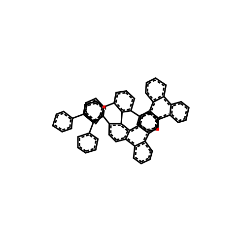 c1ccc(-c2cccc(-c3cccc4c5ccccc5c5ccccc5c34)c2-c2c(-c3nccc(-c4ccccc4)c3-c3ccccc3)ccc3c4ccccc4c4ccccc4c23)cc1